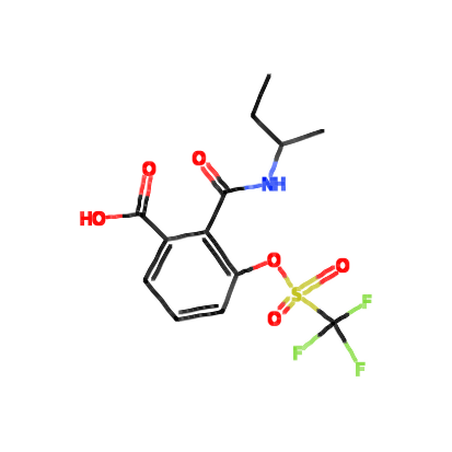 CCC(C)NC(=O)c1c(OS(=O)(=O)C(F)(F)F)cccc1C(=O)O